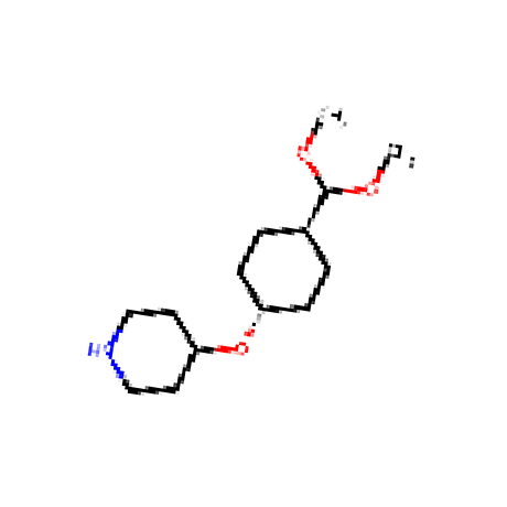 COC(OC)[C@H]1CC[C@H](OC2CCNCC2)CC1